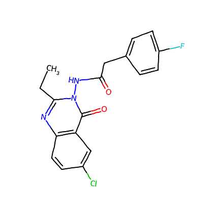 CCc1nc2ccc(Cl)cc2c(=O)n1NC(=O)Cc1ccc(F)cc1